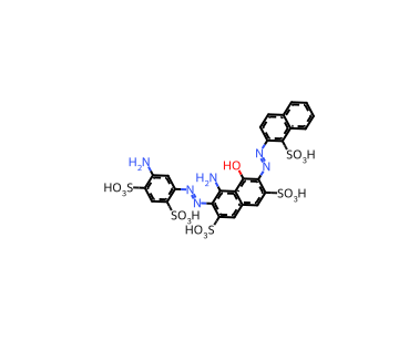 Nc1cc(N=Nc2c(S(=O)(=O)O)cc3cc(S(=O)(=O)O)c(N=Nc4ccc5ccccc5c4S(=O)(=O)O)c(O)c3c2N)c(S(=O)(=O)O)cc1S(=O)(=O)O